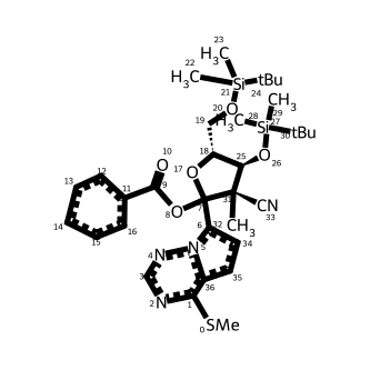 CSc1ncnn2c(C3(OC(=O)c4ccccc4)O[C@H](CO[Si](C)(C)C(C)(C)C)[C@@H](O[Si](C)(C)C(C)(C)C)[C@@]3(C)C#N)ccc12